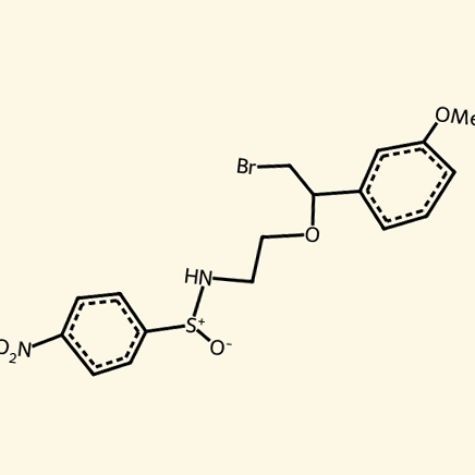 COc1cccc(C(CBr)OCCN[S+]([O-])c2ccc([N+](=O)[O-])cc2)c1